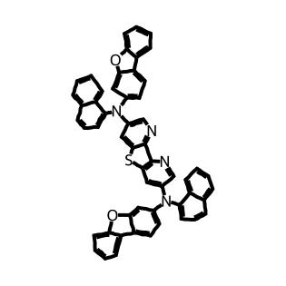 c1ccc2c(N(c3ccc4c(c3)oc3ccccc34)c3cnc4c(c3)sc3cc(N(c5ccc6c(c5)oc5ccccc56)c5cccc6ccccc56)cnc34)cccc2c1